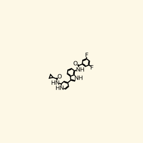 O=C(Nc1cccc2c(C3=CC(NC(=O)C4CC4)NC=C3)c[nH]c12)c1cc(F)cc(F)c1